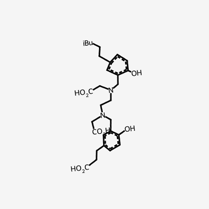 CCC(C)CCc1ccc(O)c(CN(CCN(CC(=O)O)Cc2cc(CCC(=O)O)ccc2O)CC(=O)O)c1